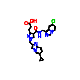 O=C(O)CCc1nn(Cc2cn3cc(C4CC4)ccc3n2)cc1C(=O)NCc1ncn2ccc(Cl)cc12